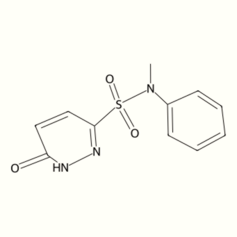 CN(c1ccccc1)S(=O)(=O)c1ccc(=O)[nH]n1